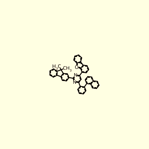 CC1(C)c2ccccc2-c2ccc(-c3nc(-c4ccccc4-c4cccc5ccccc45)cc(-c4cccc5c4oc4ccccc45)n3)cc21